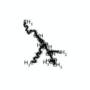 CC/C=C\C/C=C\C/C=C\C/C=C\C/C=C\C/C=C\CCC(=O)NCCOc1ccc(C[C@H](NC(=O)CC/C=C\C/C=C\C/C=C\C/C=C\C/C=C\C/C=C\CC)C(=O)NCCCC[C@H](NC(=O)CCCCCN)C(=O)NCCCC[C@H](NC)C(=O)OCC)cc1